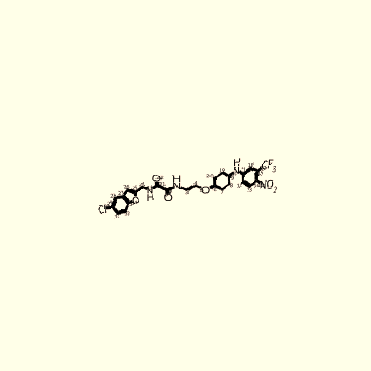 O=C(NCCOC1CCC(Nc2ccc([N+](=O)[O-])c(C(F)(F)F)c2)CC1)C(=O)NCc1cc2cc(Cl)ccc2o1